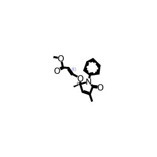 COC(=O)/C=C/O[C@@]1(C)C=C(C)C(=O)N1c1ccccc1